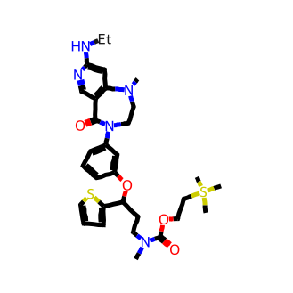 CCNc1cc2c(cn1)C(=O)N(c1cccc(OC(CCN(C)C(=O)OCCS(C)(C)C)c3cccs3)c1)CCN2C